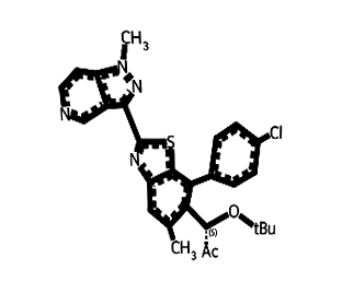 CC(=O)[C@@H](OC(C)(C)C)c1c(C)cc2nc(-c3nn(C)c4ccncc34)sc2c1-c1ccc(Cl)cc1